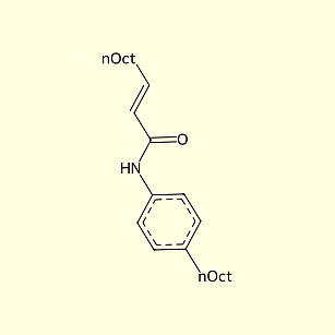 CCCCCCCCC=CC(=O)Nc1ccc(CCCCCCCC)cc1